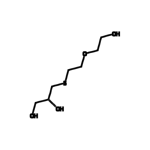 OCCOCCSCC(O)CO